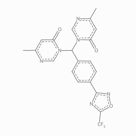 Cc1cc(=O)n(C(c2ccc(-c3noc(C(F)(F)F)n3)cc2)n2cnc(C)cc2=O)cn1